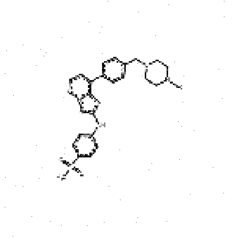 CC(=O)N1CCN(Cc2ccc(-c3cccn4nc(Nc5ccc(S(C)(=O)=O)cc5)nc34)cc2)CC1